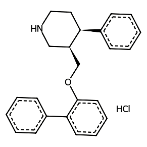 Cl.c1ccc(-c2ccccc2OC[C@H]2CNCC[C@H]2c2ccccc2)cc1